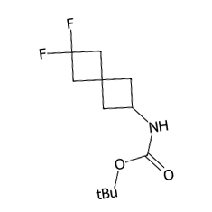 CC(C)(C)OC(=O)NC1CC2(C1)CC(F)(F)C2